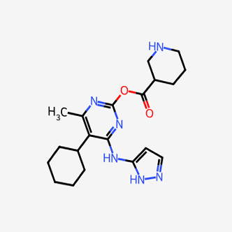 Cc1nc(OC(=O)C2CCCNC2)nc(Nc2ccn[nH]2)c1C1CCCCC1